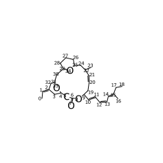 C/C=C1\CC2CC(=O)OC(/C=C/C=C\C=C(/C)CC)C/C=C\C(C)CC3CCCC(CC(C1)O2)O3